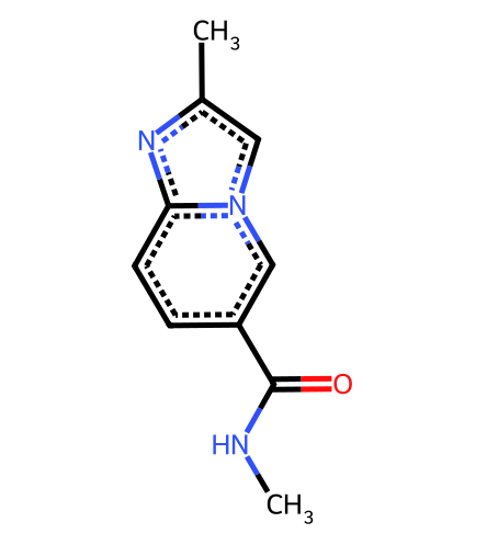 CNC(=O)c1ccc2nc(C)cn2c1